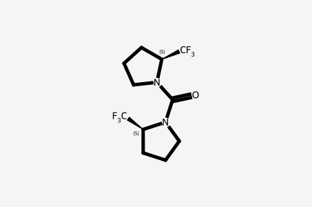 O=C(N1CCC[C@H]1C(F)(F)F)N1CCC[C@H]1C(F)(F)F